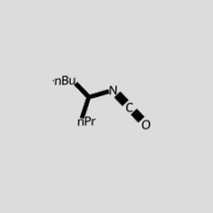 CCC[CH]C(CCC)N=C=O